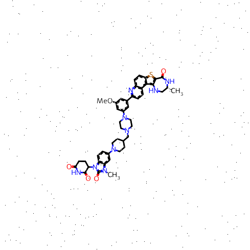 COc1cc(-c2ccc3c(ccc4sc5c(c43)NC[C@@H](C)NC5=O)n2)cc(N2CCN(CC3CCN(c4ccc5c(c4)n(C)c(=O)n5C4CCC(=O)NC4=O)CC3)CC2)c1